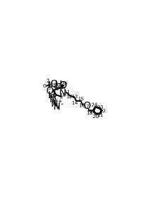 CC1(C)O[C@@H]2[C@@H](N=[N+]=[N-])CN(CCCCCCOCc3ccccc3)C(=O)[C@@H]2O1